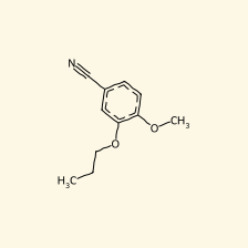 CCCOc1cc(C#N)ccc1OC